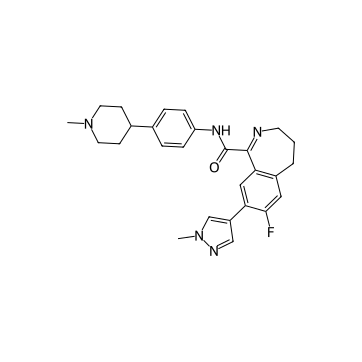 CN1CCC(c2ccc(NC(=O)C3=NCCCc4cc(F)c(-c5cnn(C)c5)cc43)cc2)CC1